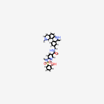 C=C(Nc1ccc2c(c1)CN(C)CC2)c1cccc(CNC(=O)c2ccc(N(C)S(=O)(=O)c3ccccc3O)nc2)c1